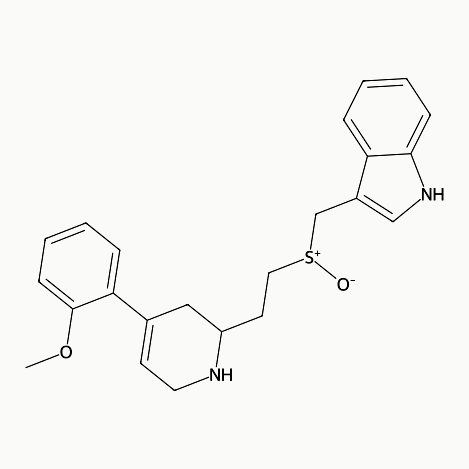 COc1ccccc1C1=CCNC(CC[S+]([O-])Cc2c[nH]c3ccccc23)C1